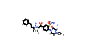 CC(CCc1ccccc1)NCC(O)c1ccc(N2CCN(C)CC2)c(S(N)(=O)=O)c1